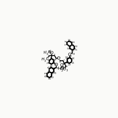 CCC(CCOCCC(CC)(OC)c1cccc(OCc2ccc3ccccc3c2)c1)(OC)c1cccc(OCc2ccc3ccccc3c2)c1